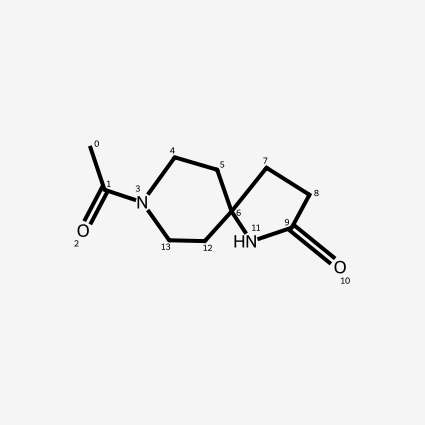 CC(=O)N1CCC2(CCC(=O)N2)CC1